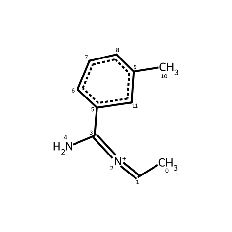 CC=[N+]=C(N)c1cccc(C)c1